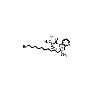 CN(C)C(=O)Oc1cccnc1C[N+](C)(C)CCCCCCCCCCBr.[Br-]